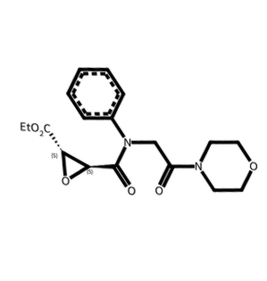 CCOC(=O)[C@H]1O[C@@H]1C(=O)N(CC(=O)N1CCOCC1)c1ccccc1